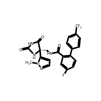 Cn1nccc1[C@@]1(CNC(=O)c2cc(F)ccc2-c2ccc(C(F)(F)F)cc2)NC(=O)NC1=O